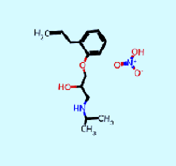 C=CCc1ccccc1OCC(O)CNC(C)C.O=[N+]([O-])O